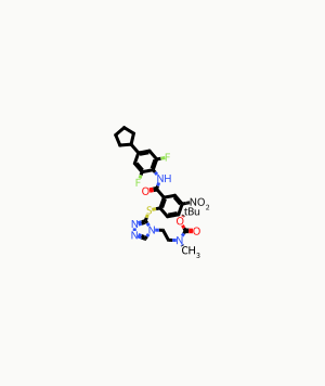 CN(CCn1cnnc1Sc1ccc([N+](=O)[O-])cc1C(=O)Nc1c(F)cc(C2CCCC2)cc1F)C(=O)OC(C)(C)C